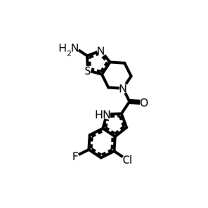 Nc1nc2c(s1)CN(C(=O)c1cc3c(Cl)cc(F)cc3[nH]1)CC2